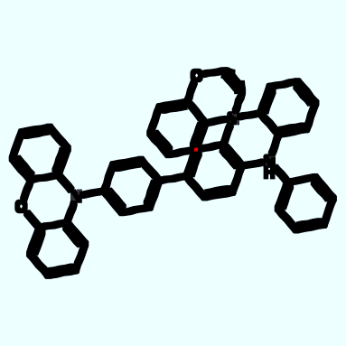 c1ccc([SiH]2c3ccccc3[Si]3(c4ccccc4Oc4ccccc43)c3cc(-c4ccc(N5c6ccccc6Oc6ccccc65)cc4)ccc32)cc1